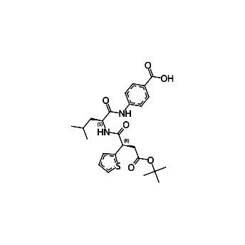 CC(C)C[C@H](NC(=O)[C@@H](CC(=O)OC(C)(C)C)c1cccs1)C(=O)Nc1ccc(C(=O)O)cc1